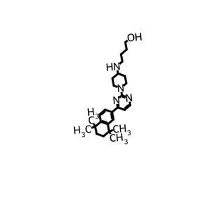 CC1(C)CCC(C)(C)c2cc(-c3ccnc(N4CCC(NCCCCO)CC4)n3)ccc21